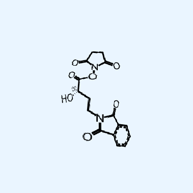 O=C(ON1C(=O)CCC1=O)[C@@H](O)CCN1C(=O)c2ccccc2C1=O